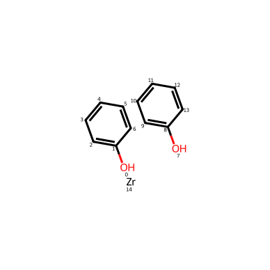 Oc1ccccc1.Oc1ccccc1.[Zr]